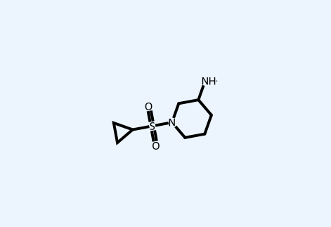 [NH]C1CCCN(S(=O)(=O)C2CC2)C1